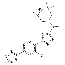 CN(c1nnc(-c2ccc(-n3ccnn3)cc2Cl)s1)C1CC(C)(C)NC(C)(C)C1